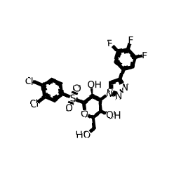 O=S(=O)(c1ccc(Cl)c(Cl)c1)C1OC(CO)C(O)C(n2cc(-c3cc(F)c(F)c(F)c3)nn2)[C@@H]1O